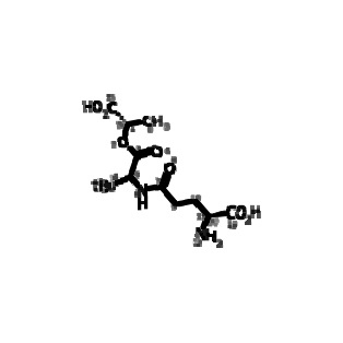 C[C@H](OC(=O)C(NC(=O)CC[C@H](N)C(=O)O)C(C)(C)C)C(=O)O